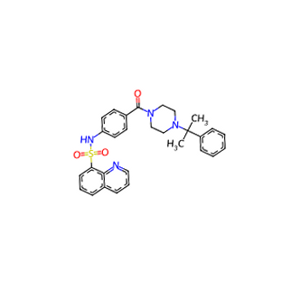 CC(C)(c1ccccc1)N1CCN(C(=O)c2ccc(NS(=O)(=O)c3cccc4cccnc34)cc2)CC1